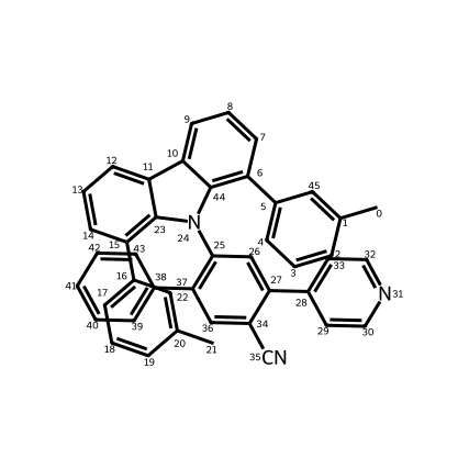 Cc1cccc(-c2cccc3c4cccc(-c5cccc(C)c5)c4n(-c4cc(-c5ccncc5)c(C#N)cc4-c4ccccc4)c23)c1